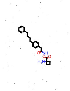 NC1(C(=O)ONC(=O)Cc2ccc(CCCCc3ccccc3)cc2)CCC1